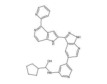 OC(Nc1cncc(-c2cnc3[nH]nc(-c4cc5c(-c6ccccn6)nccc5[nH]4)c3c2)c1)C1CCCC1